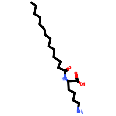 CCCCCCCCCCCCCC(=O)NC(CCCCN)C(=O)O